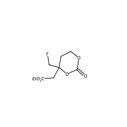 CCOC(=O)CC1(CF)CCOC(=O)O1